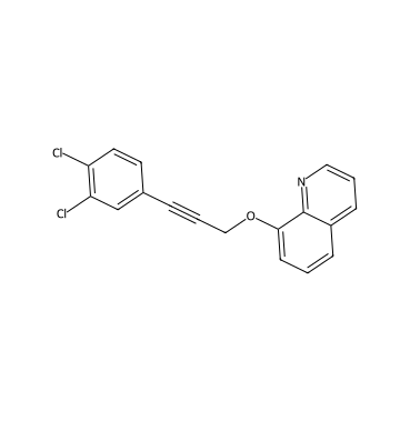 Clc1ccc(C#CCOc2cccc3cccnc23)cc1Cl